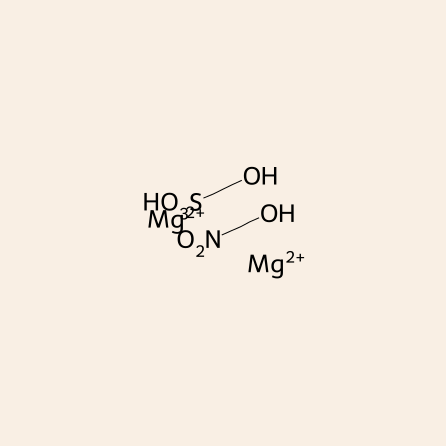 O=S(=O)(O)O.O=[N+]([O-])O.[Mg+2].[Mg+2]